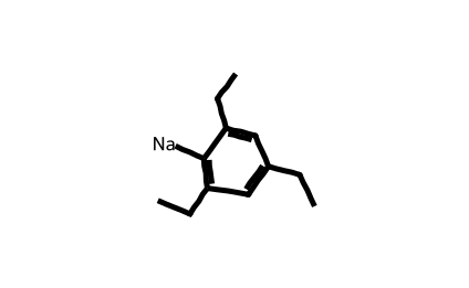 CCc1cc(CC)[c]([Na])c(CC)c1